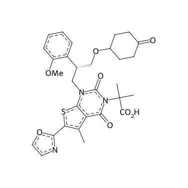 COc1ccccc1[C@H](COC1CCC(=O)CC1)Cn1c(=O)n(C(C)(C)C(=O)O)c(=O)c2c(C)c(-c3ncco3)sc21